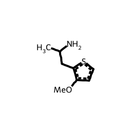 COc1ccsc1CC(C)N